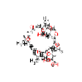 C=C1CC2CCC(=O)C[C@H]3O[C@H]4[C@@H](O)[C@H]5CC(CC(=O)C[C@H]6C(C[C@H]7O[C@@H](CC[C@@H]1O2)C[C@@H](C)C7=C)O[C@H](C[C@H](O)CO)[C@@H]6C)OC[C@@H]5O[C@H]4[C@H]3C